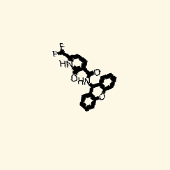 O=C(NC1c2ccccc2Oc2ccccc21)c1ccc(C(F)F)[nH]c1=O